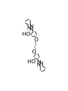 Oc1cc(OCCCCOc2ccc(-n3n4c5ccccc5n34)c(O)c2)ccc1-n1n2c3ccccc3n12